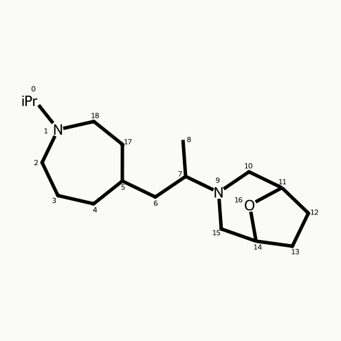 CC(C)N1CCCC(CC(C)N2CC3CCC(C2)O3)CC1